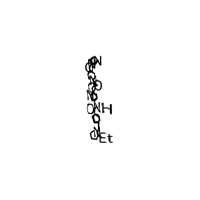 CCC1CCCCN1Cc1ccc(C(=O)Nc2ccc(OC(=O)N3CCC(On4ccnc4)CC3)nc2)cc1